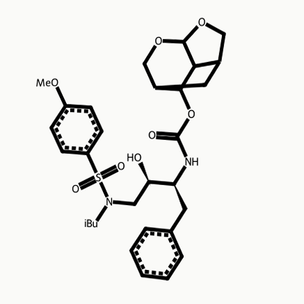 CCC(C)N(C[C@@H](O)[C@H](Cc1ccccc1)NC(=O)OC1C2COC3OCC(C2)C31)S(=O)(=O)c1ccc(OC)cc1